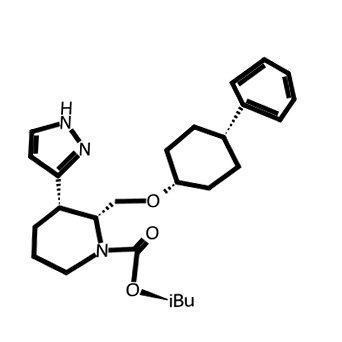 CC[C@H](C)OC(=O)N1CCC[C@H](c2cc[nH]n2)[C@@H]1CO[C@H]1CC[C@@H](c2ccccc2)CC1